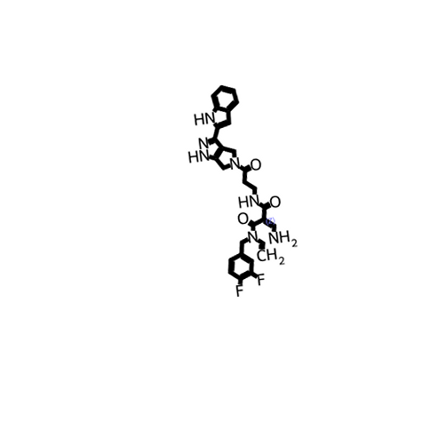 C=CN(Cc1ccc(F)c(F)c1)C(=O)/C(=C\N)C(=O)NCCC(=O)N1Cc2[nH]nc(-c3cc4ccccc4[nH]3)c2C1